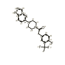 CC(F)(F)c1cc(CC(=O)N2CCN(c3ccc4nncn4n3)CC2)ccc1F